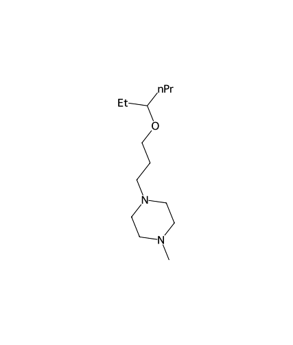 CCCC(CC)OCCCN1CCN(C)CC1